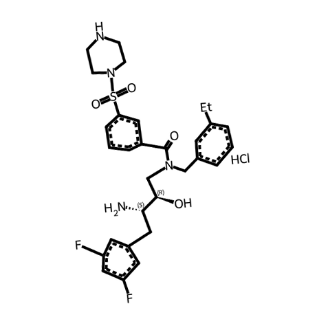 CCc1cccc(CN(C[C@@H](O)[C@@H](N)Cc2cc(F)cc(F)c2)C(=O)c2cccc(S(=O)(=O)N3CCNCC3)c2)c1.Cl